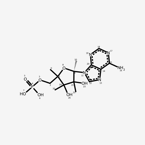 CC1(COP(=O)(O)O)O[C@@](C)(n2cnc3c(N)ncnc32)C(C)(O)C1(C)O